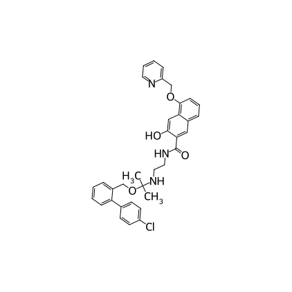 CC(C)(NCCNC(=O)c1cc2cccc(OCc3ccccn3)c2cc1O)OCc1ccccc1-c1ccc(Cl)cc1